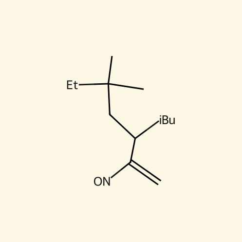 C=C(N=O)C(CC(C)(C)CC)C(C)CC